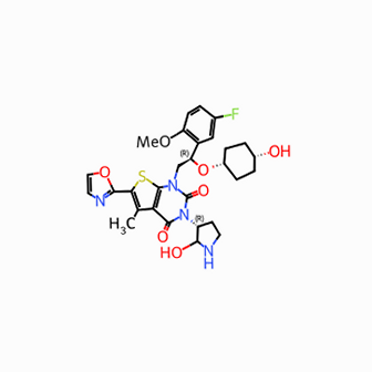 COc1ccc(F)cc1[C@H](Cn1c(=O)n([C@@H]2CCNC2O)c(=O)c2c(C)c(-c3ncco3)sc21)O[C@H]1CC[C@@H](O)CC1